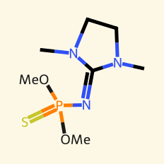 COP(=S)(N=C1N(C)CCN1C)OC